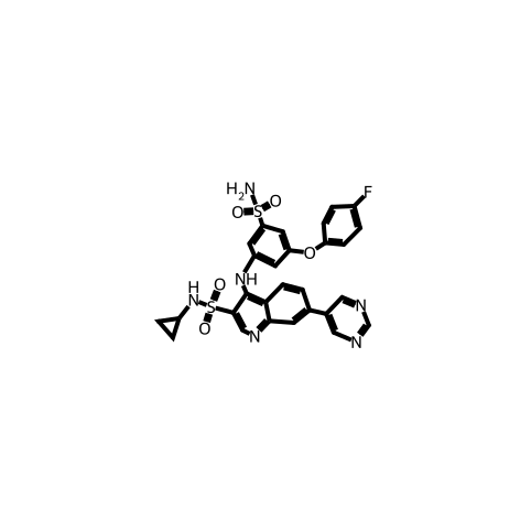 NS(=O)(=O)c1cc(Nc2c(S(=O)(=O)NC3CC3)cnc3cc(-c4cncnc4)ccc23)cc(Oc2ccc(F)cc2)c1